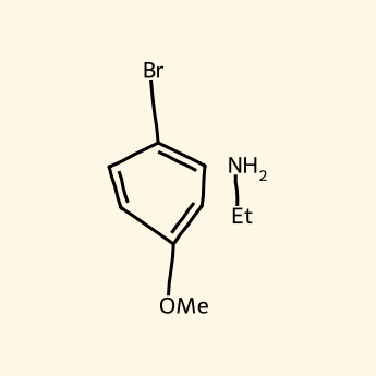 CCN.COc1ccc(Br)cc1